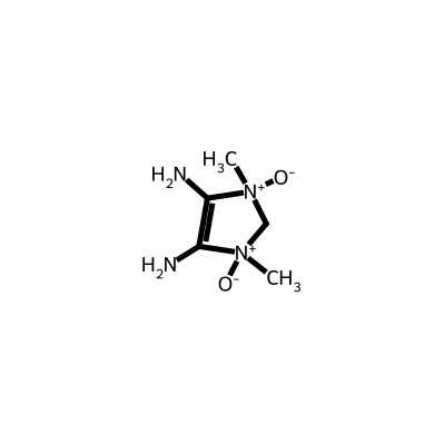 C[N+]1([O-])C[N+](C)([O-])C(N)=C1N